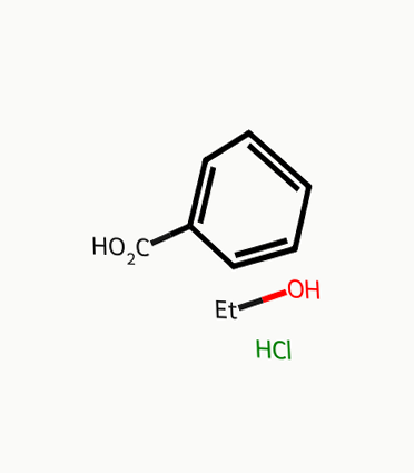 CCO.Cl.O=C(O)c1ccccc1